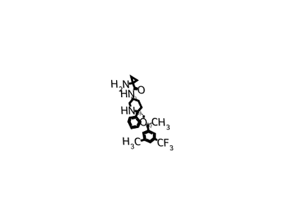 Cc1cc([C@@H](C)OC[C@@]2(c3ccccc3)CC[C@H](NC(=O)C3(N)CC3)CN2)cc(C(F)(F)F)c1